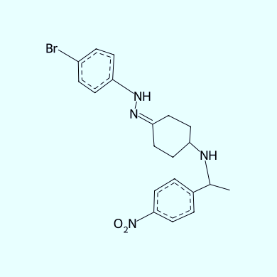 CC(NC1CCC(=NNc2ccc(Br)cc2)CC1)c1ccc([N+](=O)[O-])cc1